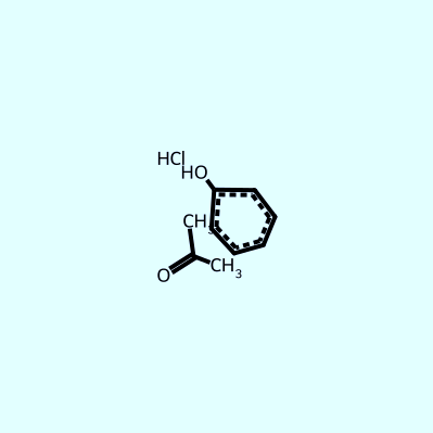 CC(C)=O.Cl.Oc1ccccc1